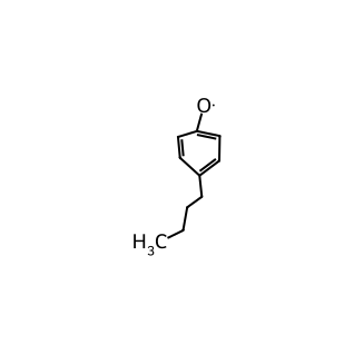 CCCCc1ccc([O])cc1